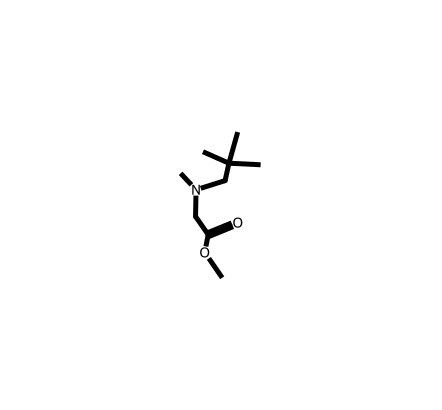 COC(=O)CN(C)CC(C)(C)C